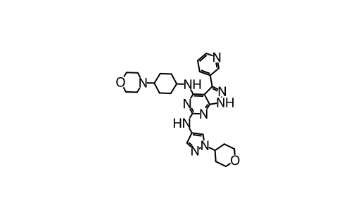 c1cncc(-c2n[nH]c3nc(Nc4cnn(C5CCOCC5)c4)nc(NC4CCC(N5CCOCC5)CC4)c23)c1